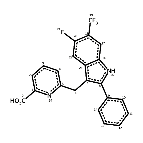 O=C(O)c1cccc(Cc2c(-c3ccccc3)[nH]c3cc(C(F)(F)F)c(F)cc23)n1